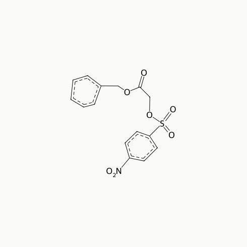 O=C(COS(=O)(=O)c1ccc([N+](=O)[O-])cc1)OCc1ccccc1